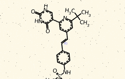 CC(C)(C)c1cc(/C=C/c2ccc(NS(C)(=O)=O)cc2)cc(-c2c[nH]c(=O)[nH]c2=O)n1